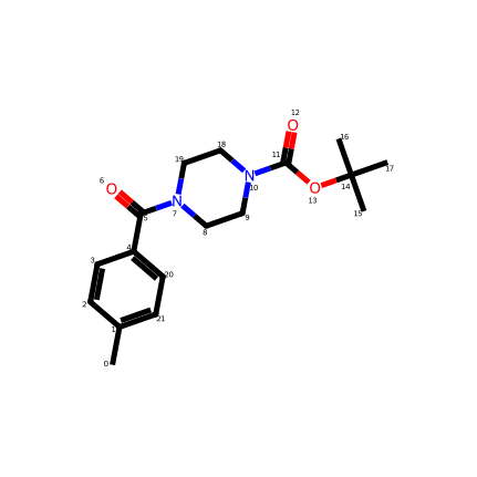 Cc1ccc(C(=O)N2CCN(C(=O)OC(C)(C)C)CC2)cc1